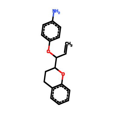 C=CC(Oc1ccc(N)cc1)C1CCc2ccccc2O1